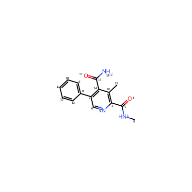 CNC(=O)c1ncc(-c2ccccc2)c(C(N)=O)c1C